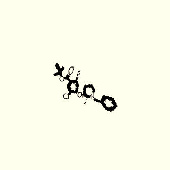 C[C@@H]1[C@H](Oc2cc(F)c(C(=O)OC(C)(C)C)cc2Cl)CCCN1Cc1ccccc1